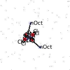 [C-]#[N+]/C(c1cnc2cc(Cl)c(Cl)cc2n1)=c1\c2c(-c3cccc(OCCCCCCCC/C=C\CCCCCCCC)c3)n(B(c3ccccc3)c3ccccc3)/c(=C(/C#N)c3cnc4cc(Cl)c(Cl)cc4n3)c2c(-c2cccc(OCCCCCCCC/C=C\CCCCCCCC)c2)n1B(c1ccccc1)c1ccccc1